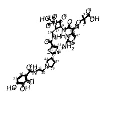 CC(C)(O/N=C(\C(=O)N[C@@H]1C(=O)N(S(=O)(=O)O)[C@@H]1CNC(=O)c1cnc([C@@H]2CCN(CCNC(=O)c3ccc(O)c(O)c3Cl)C2)s1)c1csc(N)n1)C(=O)O